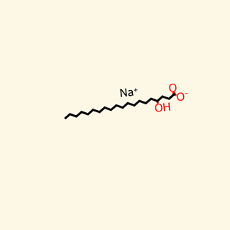 CCCCCCCCCCCCCCCCC(O)CCC(=O)[O-].[Na+]